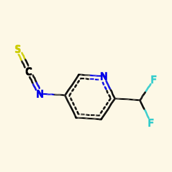 FC(F)c1ccc(N=C=S)cn1